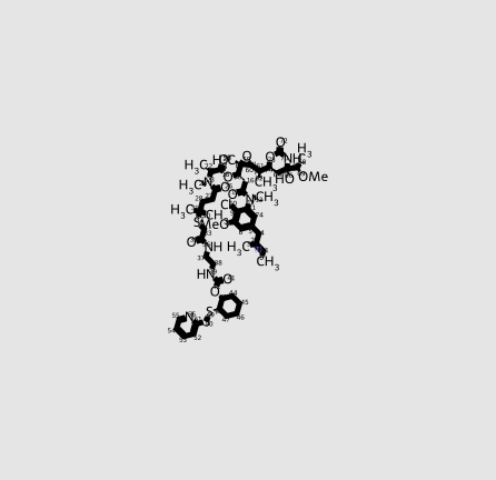 C/C=C(\C)Cc1cc(OC)c(Cl)c(N(C)C(=O)C[C@H](OC(=O)[C@H](C)N(C)C(=O)CCC(C)(C)SCC(=O)NCCNC(=O)O[C@H]2CCCC[C@@H]2SSc2ccccn2)[C@]2(C)O[C@H]2[C@H](C)[C@@H]2C[C@](O)([C@@H](C)OC)NC(=O)O2)c1